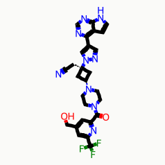 N#CC[C@]1(n2cc(-c3ncnc4[nH]ccc34)cn2)C[C@H](N2CCN(C(=O)c3cc(CO)cc(C(F)(F)F)n3)CC2)C1